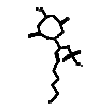 CN1CC(=O)OB(C(C=CCCCCCl)OS(N)(=O)=O)OC(=O)C1